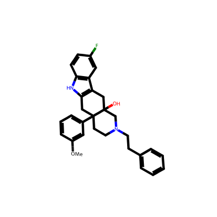 COc1cccc(C23CCN(CCc4ccccc4)CC2(O)Cc2c([nH]c4ccc(F)cc24)C3)c1